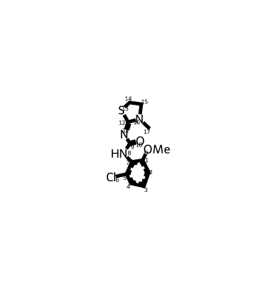 COc1cccc(Cl)c1NC(=O)N=C1SCCN1C